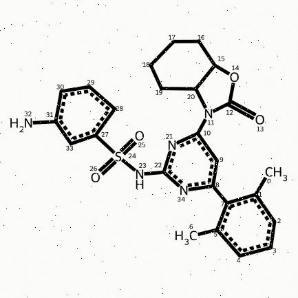 Cc1cccc(C)c1-c1cc(N2C(=O)OC3CCCCC32)nc(NS(=O)(=O)c2cccc(N)c2)n1